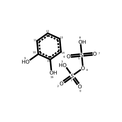 O=S(=O)(O)OS(=O)(=O)O.Oc1ccccc1O